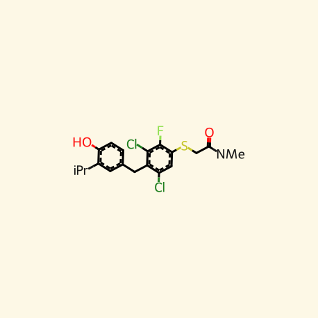 CNC(=O)CSc1cc(Cl)c(Cc2ccc(O)c(C(C)C)c2)c(Cl)c1F